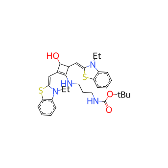 CCN1C(=CC2=C(NCCCNC(=O)OC(C)(C)C)C(C=C3Sc4ccccc4N3CC)C2O)Sc2ccccc21